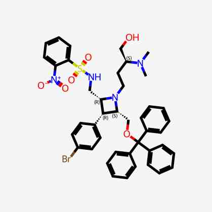 CN(C)[C@H](CO)CCN1[C@H](COC(c2ccccc2)(c2ccccc2)c2ccccc2)[C@H](c2ccc(Br)cc2)[C@@H]1CNS(=O)(=O)c1ccccc1[N+](=O)[O-]